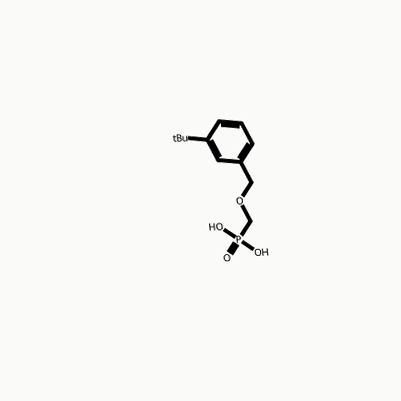 CC(C)(C)c1cccc(COCP(=O)(O)O)c1